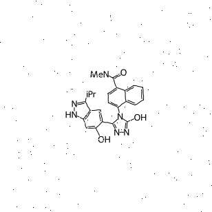 CNC(=O)c1ccc(-n2c(O)nnc2-c2cc3c(C(C)C)n[nH]c3cc2O)c2ccccc12